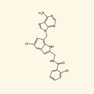 CCc1ccccc1C(=O)NCc1cc2cc(Cl)cc(Cn3cnc4c(N)ncnc43)c2[nH]1